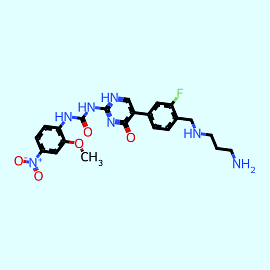 COc1cc([N+](=O)[O-])ccc1NC(=O)Nc1nc(=O)c(-c2ccc(CNCCCN)c(F)c2)c[nH]1